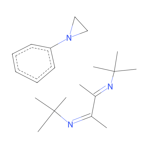 CC(=NC(C)(C)C)C(C)=NC(C)(C)C.c1ccc(N2CC2)cc1